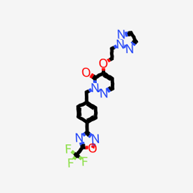 O=c1c(OCCn2nccn2)ccnn1Cc1ccc(-c2noc(C(F)(F)F)n2)cc1